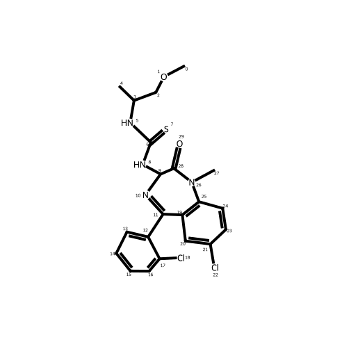 COCC(C)NC(=S)NC1N=C(c2ccccc2Cl)c2cc(Cl)ccc2N(C)C1=O